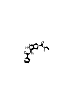 CCNC(=O)N1Cc2n[nH]c(NC(=O)c3cccs3)c2C1